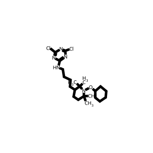 CC1(C)CCC(CCCCNc2nc(Cl)nc(Cl)n2)C(C)(C)N1OC1CCCCC1